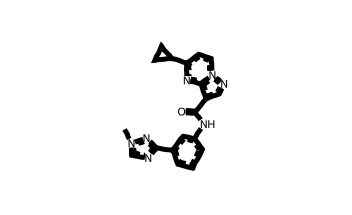 Cn1cnc(-c2cccc(NC(=O)c3cnn4ccc(C5CC5)nc34)c2)n1